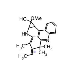 C/C=C1\C(C)=C2NC3C(c4c2c(nc2ccccc42)C1(C)C)C3(O)OC